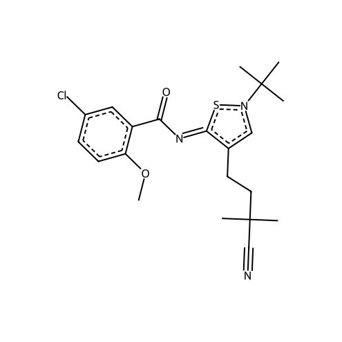 COc1ccc(Cl)cc1C(=O)/N=c1\sn(C(C)(C)C)cc1CCC(C)(C)C#N